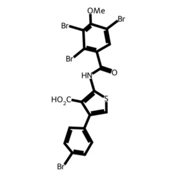 COc1c(Br)cc(C(=O)Nc2scc(-c3ccc(Br)cc3)c2C(=O)O)c(Br)c1Br